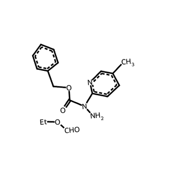 CCOC=O.Cc1ccc(N(N)C(=O)OCc2ccccc2)nc1